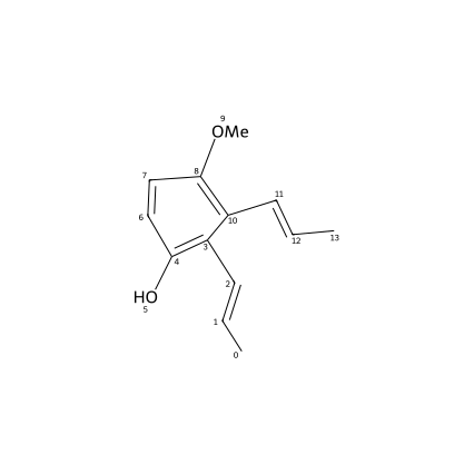 CC=Cc1c(O)ccc(OC)c1C=CC